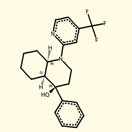 O[C@]1(c2ccccc2)CCN(c2cc(C(F)(F)F)ccn2)[C@@H]2CCCC[C@@H]21